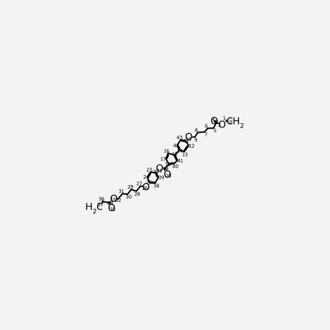 C=COC(=O)CCCCCOc1ccc(-c2ccc(C(=O)Oc3ccc(OCCCCCCOC(=O)C=C)cc3)cc2)cc1